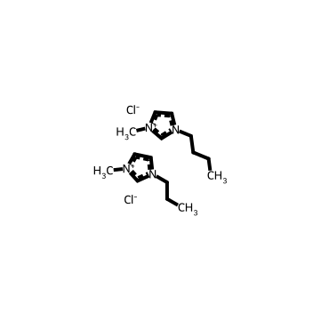 CCCCn1cc[n+](C)c1.CCCn1cc[n+](C)c1.[Cl-].[Cl-]